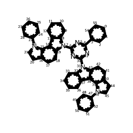 c1ccc(-c2nc(-n3c4ccccc4c4c5c(ccc43)ccn5-c3ccccc3)nc(-n3c4ccccc4c4c5c(ccc43)ccn5-c3ccccc3)n2)cc1